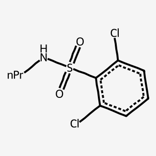 CCCNS(=O)(=O)c1c(Cl)cccc1Cl